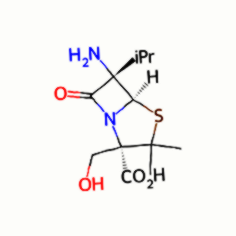 CC(C)[C@]1(N)C(=O)N2[C@@H]1SC(C)(C)[C@]2(CO)C(=O)O